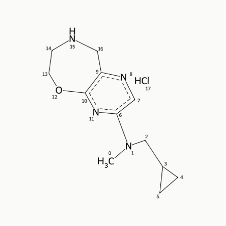 CN(CC1CC1)c1cnc2c(n1)OCCNC2.Cl